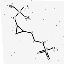 CC(C)(C)[Si](C)(C)OC1CC1CCOS(C)(=O)=O